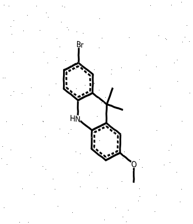 COc1ccc2c(c1)C(C)(C)c1cc(Br)ccc1N2